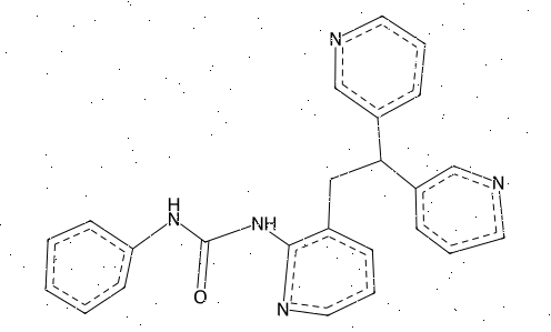 O=C(Nc1ccccc1)Nc1ncccc1CC(c1cccnc1)c1cccnc1